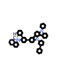 CC1CC=Cc2cccc(Nc3ccc(-c4ccc5c(c4)c4ccc6c(c7ccccc7n6-c6ccccc6)c4n5-c4cccc(-c5ccccc5)c4)cc3-c3ccccc3)c21